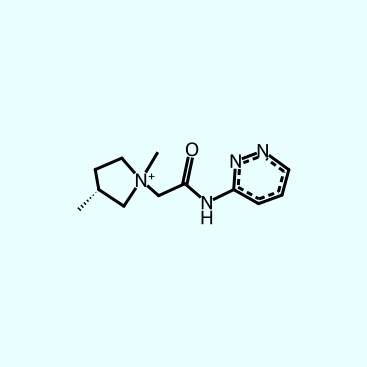 C[C@@H]1CC[N+](C)(CC(=O)Nc2cccnn2)C1